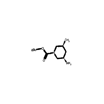 C[C@H]1C[C@@H](N)CN(C(=O)OC(C)(C)C)C1